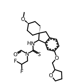 CO[C@H]1CC[C@]2(CC1)Cc1ccc(OCC3CCCO3)cc1C2NC(=S)N(C=O)CC(F)F